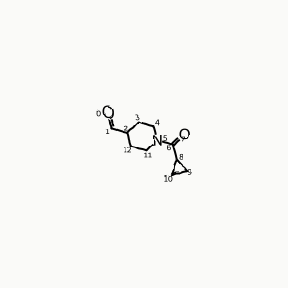 O=CC1CCN(C(=O)C2CC2)CC1